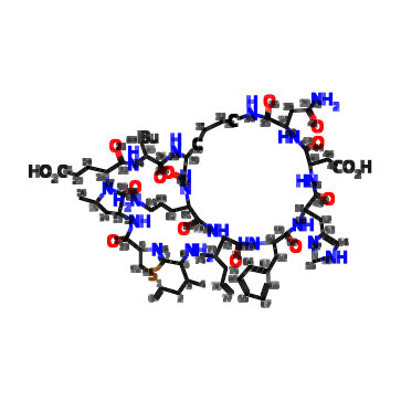 C=CCC(C)C(N)C1=NC(C(=O)NC2CC(C)N(C(CCC(=O)O)C(=O)NC(C(=O)NC3CCCCNC(=O)C(CC(N)=O)NC(=O)C(CC(=O)O)NC(=O)C(Cc4c[nH]cn4)NC(=O)C(Cc4ccccc4)NC(=O)C(C(C)CC=C)NC(=O)C(CCCN)NC3=O)C(C)CC)C2=O)CS1